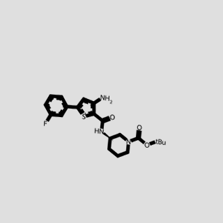 CC(C)(C)OC(=O)N1CCC[C@@H](NC(=O)c2sc(-c3cccc(F)c3)cc2N)C1